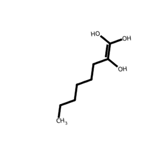 CCCCCCC(O)=C(O)O